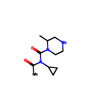 CCCC(=O)N(C(=O)N1CCNCC1C)C1CC1